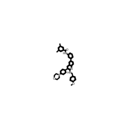 COc1ccc(CNc2nc3ccc(-c4cccc(NC(=O)c5cc(C)cc(C)c5)c4)cc3cc2-c2ccc(N3CCOCC3)cc2)cc1